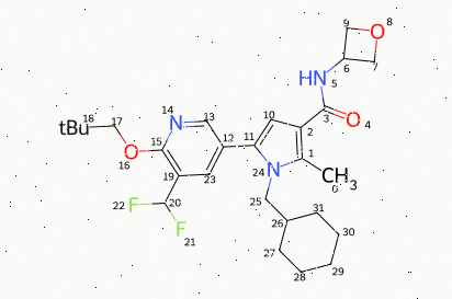 Cc1c(C(=O)NC2COC2)cc(-c2cnc(OCC(C)(C)C)c(C(F)F)c2)n1CC1CCCCC1